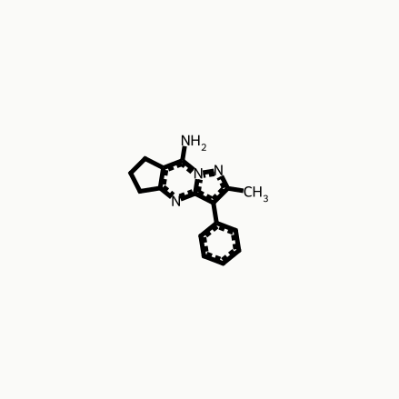 Cc1nn2c(N)c3c(nc2c1-c1ccccc1)CCC3